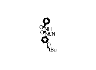 CC(C)(C)COc1cccc(N(C#N)C(=O)NC(=O)c2ccccc2)c1